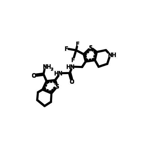 NC(=O)c1c(NC(=O)NCc2c(C(F)(F)F)sc3c2CCNC3)sc2c1CCCC2